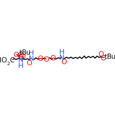 CC(C)(C)OC(=O)CCCCCCCCCCCCCCCCC(=O)NCCCOCCOCCOCCCNC(=O)CCC(=O)NC(CCC(=O)O)C(=O)OC(C)(C)C